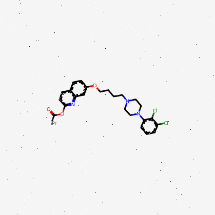 CC(C)C(=O)Oc1ccc2ccc(OCCCCN3CCN(c4cccc(Cl)c4Cl)CC3)cc2n1